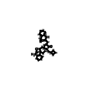 CN(C)[C@]1(c2ccccc2)CC[C@]2(CC1)CN(CC(=O)Nc1ncncc1C#N)C(=O)N2CC1CCC1